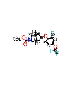 CC(C)(C)OC(=O)N1C[C@H]2CC(Oc3ccc(OC(F)F)cc3F)C[C@H]2C1